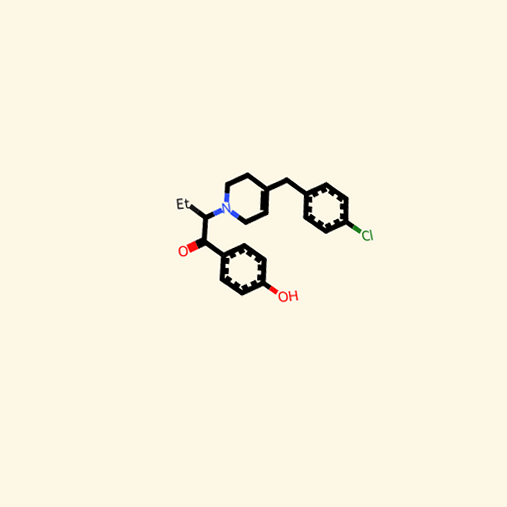 CCC(C(=O)c1ccc(O)cc1)N1CC=C(Cc2ccc(Cl)cc2)CC1